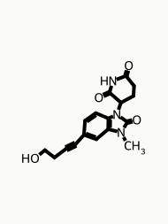 Cn1c(=O)n(C2CCC(=O)NC2=O)c2ccc(C#CCCO)cc21